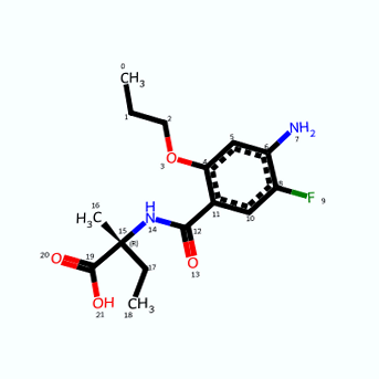 CCCOc1cc(N)c(F)cc1C(=O)N[C@](C)(CC)C(=O)O